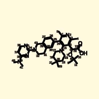 Cc1nc(C)c([C@H](OC(C)(C)C)C(=O)O)c(N2CCC(C)(C)CC2)c1-c1ccc2c(c1)CCN(c1nccc(N(C)C)n1)C2